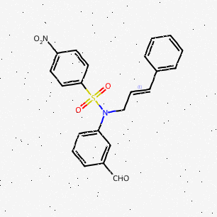 O=Cc1cccc(N(C/C=C/c2ccccc2)S(=O)(=O)c2ccc([N+](=O)[O-])cc2)c1